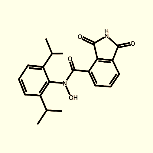 CC(C)c1cccc(C(C)C)c1N(O)C(=O)c1cccc2c1C(=O)NC2=O